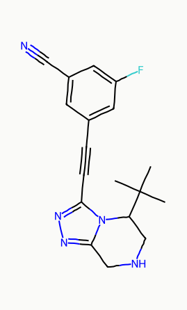 CC(C)(C)C1CNCc2nnc(C#Cc3cc(F)cc(C#N)c3)n21